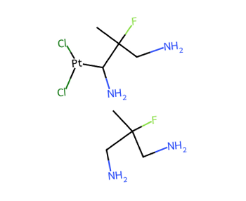 CC(F)(CN)CN.CC(F)(CN)[CH](N)[Pt]([Cl])[Cl]